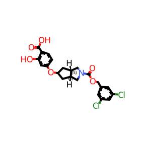 O=C(O)c1ccc(OC2C[C@@H]3CN(C(=O)OCc4cc(Cl)cc(Cl)c4)C[C@@H]3C2)cc1O